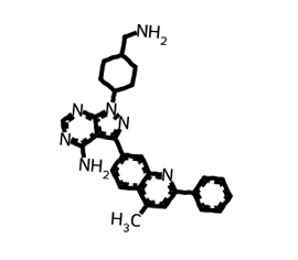 Cc1cc(-c2ccccc2)nc2cc(-c3nn(C4CCC(CN)CC4)c4ncnc(N)c34)ccc12